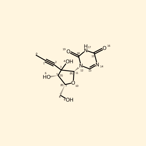 CC#CC1(O)[C@@H](O)[C@@H](CO)O[C@H]1n1cnc(=O)[nH]c1=O